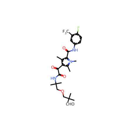 Cc1c(C(=O)C(=O)NC(C)(C)COCC(C)(C)C=O)c(C)n(C)c1C(=O)Nc1ccc(F)c(C(F)(F)F)c1